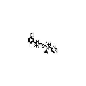 Fc1ccc(Cl)cc1-c1nc(CSc2nnc(-c3ccncn3)n2C2CC2)no1